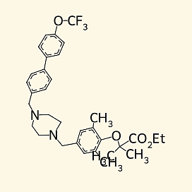 CCOC(=O)C(C)(C)Oc1c(C)cc(CN2CCN(Cc3ccc(-c4ccc(OC(F)(F)F)cc4)cc3)CC2)cc1C